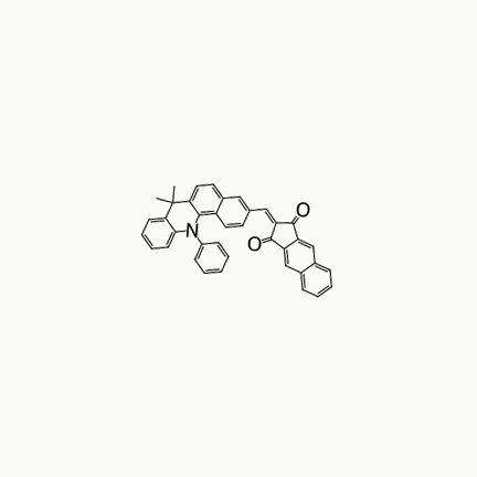 CC1(C)c2ccccc2N(c2ccccc2)c2c1ccc1cc(C=C3C(=O)c4cc5ccccc5cc4C3=O)ccc21